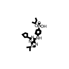 CCC(C)OP(=O)(O)c1ccc(Nc2nc(C3CCCC3)nc3c2ncn3C(C)C)cc1